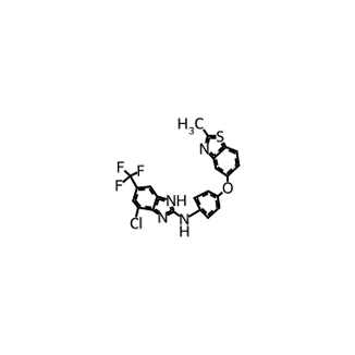 Cc1nc2cc(Oc3ccc(Nc4nc5c(Cl)cc(C(F)(F)F)cc5[nH]4)cc3)ccc2s1